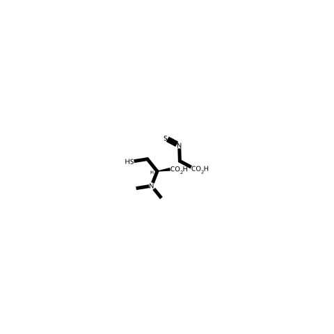 CN(C)[C@@H](CS)C(=O)O.O=C(O)CN=S